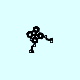 O=C1CC=CC2=C1C(c1ccc(OCC3CO3)cc1)(c1ccc(OCC3CO3)cc1)c1ccccc12